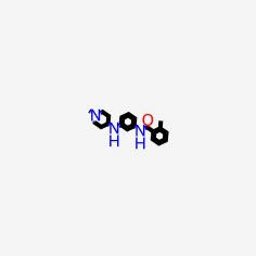 Cc1ccccc1C(=O)Nc1cccc(NC2CCN(C)CC2)c1